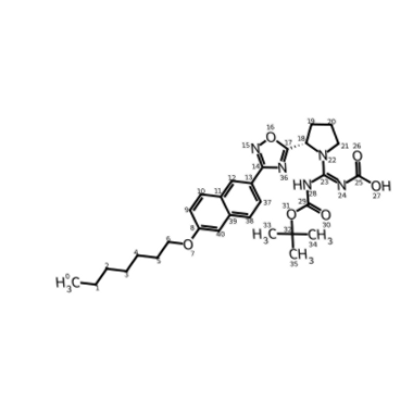 CCCCCCCOc1ccc2cc(-c3noc([C@@H]4CCCN4/C(=N\C(=O)O)NC(=O)OC(C)(C)C)n3)ccc2c1